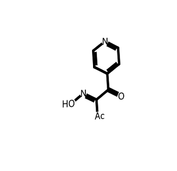 CC(=O)C(=NO)C(=O)c1ccncc1